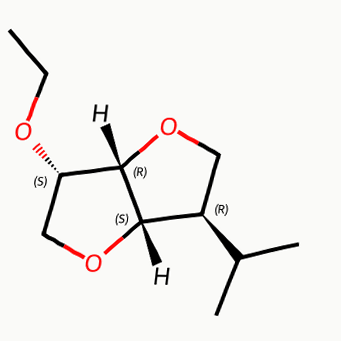 CCO[C@H]1CO[C@@H]2[C@H]1OC[C@H]2C(C)C